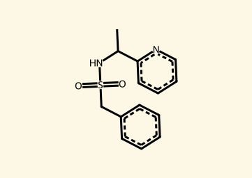 CC(NS(=O)(=O)Cc1ccccc1)c1ccccn1